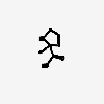 O=C(O)C1(Cl)C=CSN1